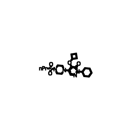 CCCS(=O)(=O)N1CCN(c2cnn(C3CCCCC3)c(=O)c2OC2CCC2)CC1